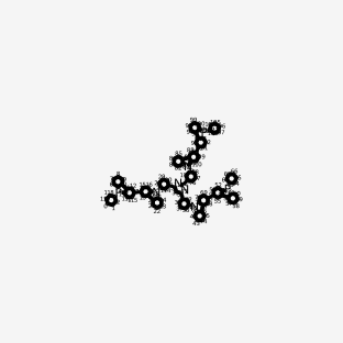 c1ccc(-p2c3ccccc3c3cc(-c4ccc5c(c4)c4ccccc4n5-c4cccc(-c5cc(-c6cccc(-n7c8ccccc8c8cc(-c9ccc%10c(c9)c9ccccc9p%10-c9ccccc9)ccc87)c6)nc(-c6cccc(-n7c8ccccc8c8cc(-c9ccc%10c(c9)c9ccccc9p%10-c9ccccc9)ccc87)c6)n5)c4)ccc32)cc1